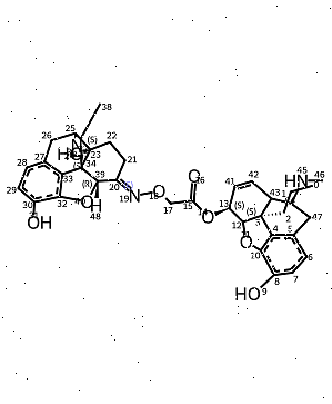 CCC[C@]12c3c4ccc(O)c3OC1[C@@H](OC(=O)CO/N=C1\CC[C@@]3(O)C5Cc6ccc(O)c7c6[C@@]3(CCN5C)[C@H]1O7)C=CC2C(NC)C4